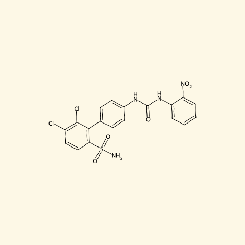 NS(=O)(=O)c1ccc(Cl)c(Cl)c1-c1ccc(NC(=O)Nc2ccccc2[N+](=O)[O-])cc1